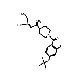 C=C(/C=C(/N)OC)C1CCN(C(=O)c2ccc(OC(F)(F)F)cc2F)CC1